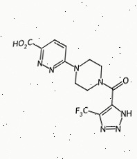 O=C(O)c1ccc(N2CCN(C(=O)c3[nH]nnc3C(F)(F)F)CC2)nn1